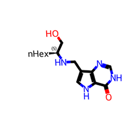 CCCCCC[C@@H](CO)NCc1c[nH]c2c(=O)[nH]cnc12